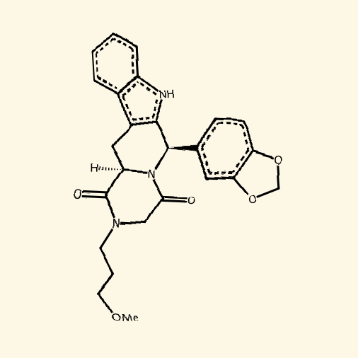 COCCCN1CC(=O)N2[C@H](c3ccc4c(c3)OCO4)c3[nH]c4ccccc4c3C[C@@H]2C1=O